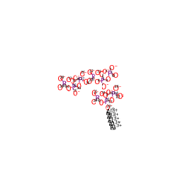 O=P([O-])([O-])OP(=O)([O-])OP(=O)([O-])[O-].O=P([O-])([O-])OP(=O)([O-])OP(=O)([O-])[O-].O=P([O-])([O-])OP(=O)([O-])OP(=O)([O-])[O-].[Al+3].[Al+3].[Al+3].[Al+3].[Al+3]